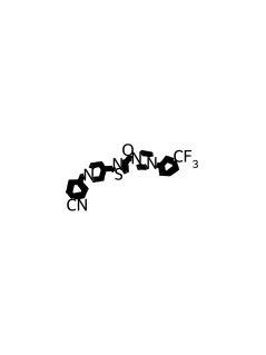 N#Cc1ccc(CN2CCC(c3nc(C(=O)N4CCN(c5cccc(C(F)(F)F)c5)CC4)cs3)CC2)cc1